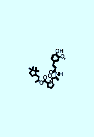 C=C(NC(=O)/C=C/c1ccc(O)c(OC)c1)C(=O)N1CCCC1C(=O)OC(C)CC1CCC(C)(C)C1(C)C